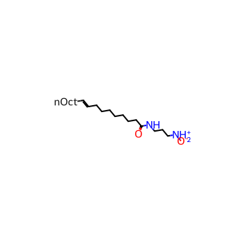 CCCCCCCCC=CCCCCCCCC(=O)NCCC[NH2+][O-]